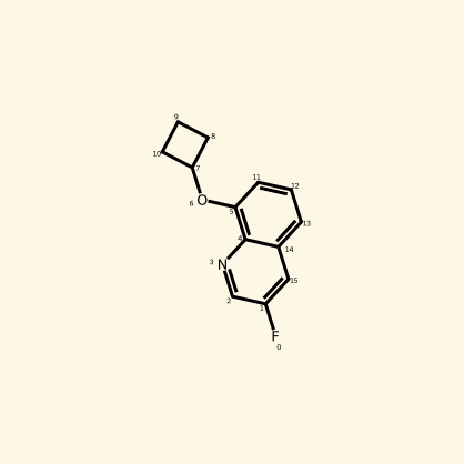 Fc1cnc2c(OC3CCC3)cccc2c1